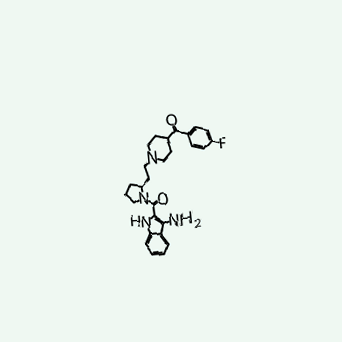 Nc1c(C(=O)N2CCC[C@H]2CCN2CCC(C(=O)c3ccc(F)cc3)CC2)[nH]c2ccccc12